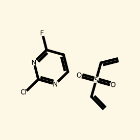 C=CS(=O)(=O)C=C.Fc1ccnc(Cl)n1